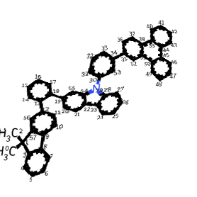 CC1(C)c2ccccc2-c2ccc(-c3ccccc3-c3ccc4c5ccccc5n(-c5cccc(-c6ccc7c8ccccc8c8ccccc8c7c6)c5)c4c3)cc21